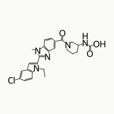 CCn1c(-c2nc3cc(C(=O)N4CCCC(NC(=O)O)C4)ccc3n2C)cc2cc(Cl)ccc21